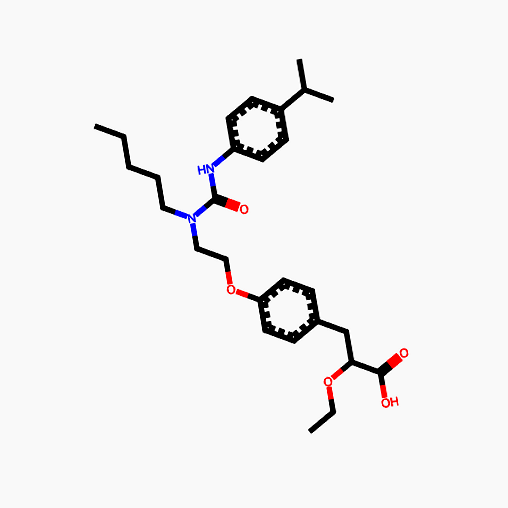 CCCCCN(CCOc1ccc(CC(OCC)C(=O)O)cc1)C(=O)Nc1ccc(C(C)C)cc1